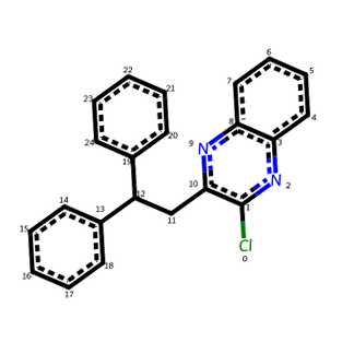 Clc1nc2ccccc2nc1CC(c1ccccc1)c1ccccc1